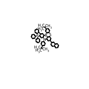 CC(C)(C)c1ccc(N2c3cc4c(cc3B3c5cc(C(C)(C)C)ccc5Sc5cc(-c6ccc7ccccc7c6)cc2c53)-c2ccccc2[Si]4(c2ccccc2)c2ccccc2)cc1